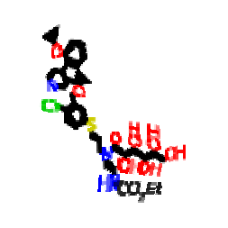 CCOC(=O)NCCN(CCCSc1ccc(Cl)c(COC2(c3cnccc3-c3ccccc3OC3CC3)CC2)c1)C(=O)[C@@H](O)[C@@H](O)[C@H](O)[C@@H](O)CO